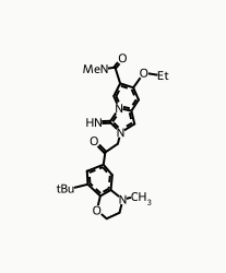 CCOc1cc2cn(CC(=O)c3cc4c(c(C(C)(C)C)c3)OCCN4C)c(=N)n2cc1C(=O)NC